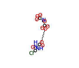 COc1cc(C2NC(=O)c3cc(Cl)ccc3N2)ccc1OCCCCCCCCCOc1c(OC)cc(C2CC(c3cc(OC)c(OC)c(OC)c3)=NO2)cc1OC